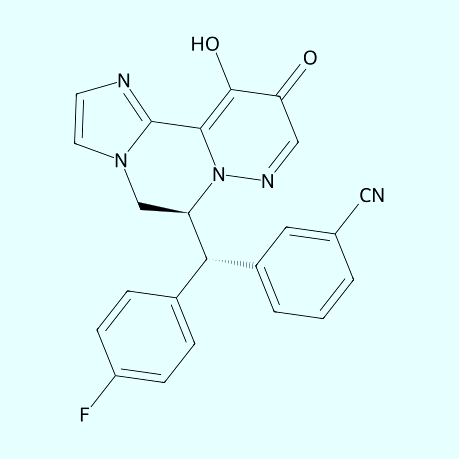 N#Cc1cccc([C@H](c2ccc(F)cc2)[C@H]2Cn3ccnc3-c3c(O)c(=O)cnn32)c1